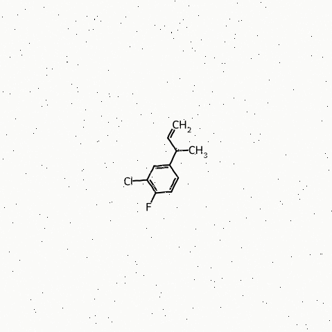 C=C[C](C)c1ccc(F)c(Cl)c1